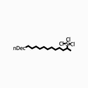 CCCCCCCCCCCCCCCCCCCCC(C)[Si](Cl)(Cl)Cl